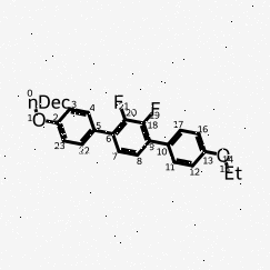 CCCCCCCCCCOc1ccc(-c2ccc(-c3ccc(OCC)cc3)c(F)c2F)cc1